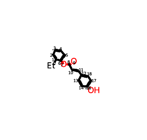 CCc1c[c]ccc1OC(=O)/C=C/c1ccc(O)cc1